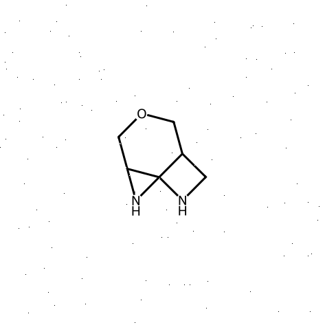 C1NC23NC2COCC13